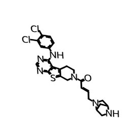 O=C(/C=C/CN1CC2CC1CN2)N1CCc2c(sc3ncnc(Nc4ccc(Cl)c(Cl)c4)c23)C1